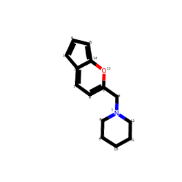 c1cc2ccc(CN3CCCCC3)oc-2c1